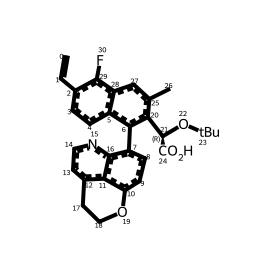 C=Cc1ccc2c(-c3ccc4c5c(ccnc35)CCO4)c([C@@H](OC(C)(C)C)C(=O)O)c(C)cc2c1F